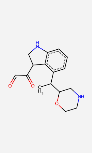 CC(c1cccc2c1C(C(=O)C=O)CN2)C1CNCCO1